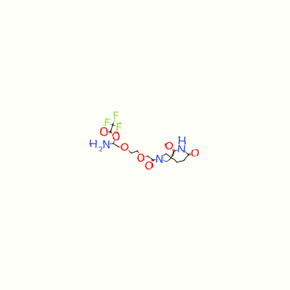 NC(COCCOCC(=O)N1CC2(CCC(=O)NC2=O)C1)OC(=O)C(F)(F)F